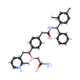 Cc1ccc(C(NC(=O)Cc2ccc(C(Cc3cccnc3C)OCC(N)=O)cc2)c2ccccc2)c(C)c1